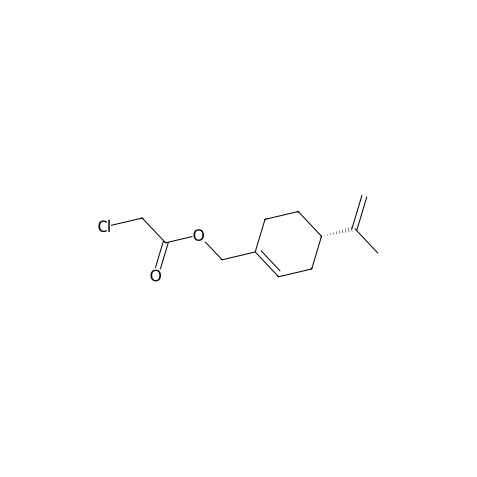 C=C(C)[C@@H]1CC=C(COC(=O)CCl)CC1